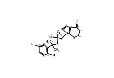 CC(C)(CC(O)(Cn1ccc2c1CCCC2=O)C(F)(F)F)c1cc(F)ccc1O